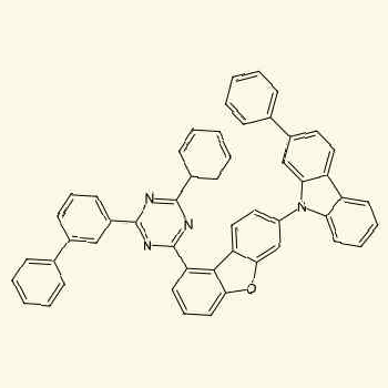 C1=CCC(c2nc(-c3cccc(-c4ccccc4)c3)nc(-c3cccc4oc5cc(-n6c7ccccc7c7ccc(-c8ccccc8)cc76)ccc5c34)n2)C=C1